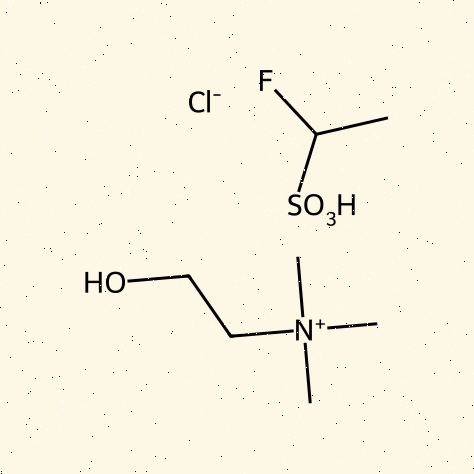 CC(F)S(=O)(=O)O.C[N+](C)(C)CCO.[Cl-]